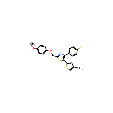 COc1ccc(OCc2nc(-c3ccc(F)cc3)c(-c3cc(C)cs3)s2)cc1